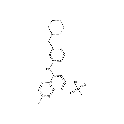 Cc1cnc2c(Nc3cccc(CN4CCCCC4)c3)cc(NS(C)(=O)=O)nc2n1